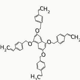 C=Cc1ccc(COc2cc(OCc3ccc(C=C)cc3)c3cc(OCc4ccc(C=C)cc4)cc(OCc4ccc(C=C)cc4)c3c2)cc1